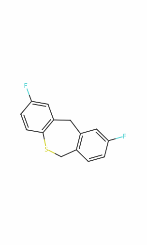 Fc1ccc2c(c1)Cc1cc(F)ccc1SC2